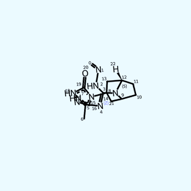 C=NN/C(=N\C(C)=N)N1C2CC[C@H]1CC(n1cn[nH]c1=O)C2